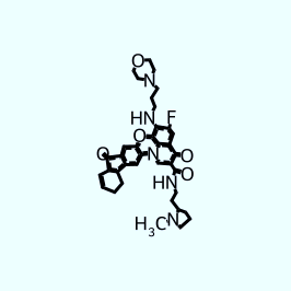 CN1CCCC1CCNC(=O)c1cn2c3cc4c5c(c(=O)c4cc3oc3c(NCCCN4CCOCC4)c(F)cc(c1=O)c32)C=CCC5